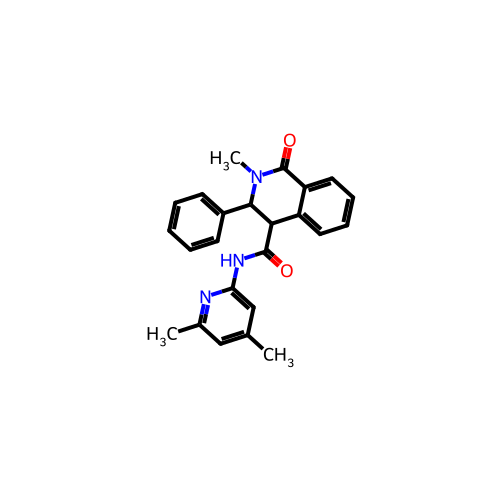 Cc1cc(C)nc(NC(=O)C2c3ccccc3C(=O)N(C)C2c2ccccc2)c1